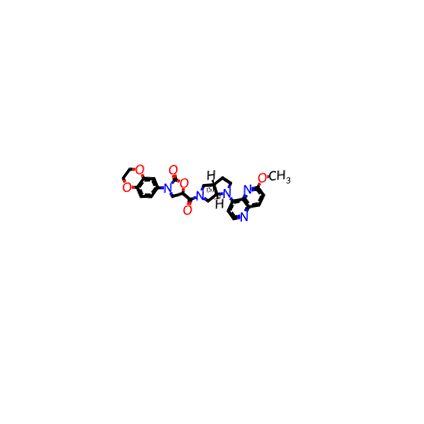 COc1ccc2nccc(N3CC[C@H]4CN(C(=O)C5CN(c6ccc7c(c6)OCCO7)C(=O)O5)C[C@H]43)c2n1